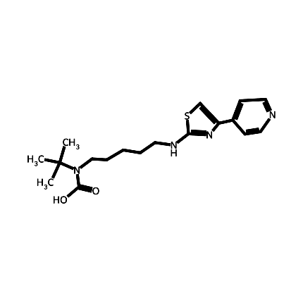 CC(C)(C)N(CCCCCNc1nc(-c2ccncc2)cs1)C(=O)O